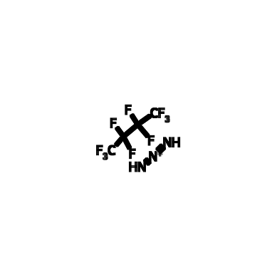 FC(F)(F)C(F)(F)C(F)(F)C(F)(F)F.N=[N+]=N